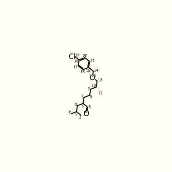 CC(C)CC(C=O)CCC[C@@H](C)COCc1ccc(Cl)cc1